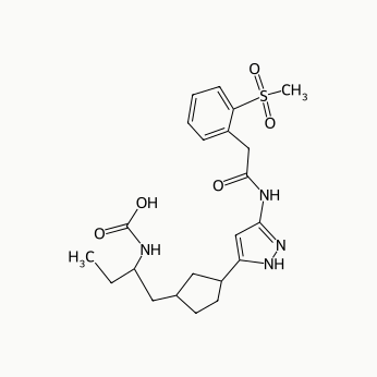 CCC(CC1CCC(c2cc(NC(=O)Cc3ccccc3S(C)(=O)=O)n[nH]2)C1)NC(=O)O